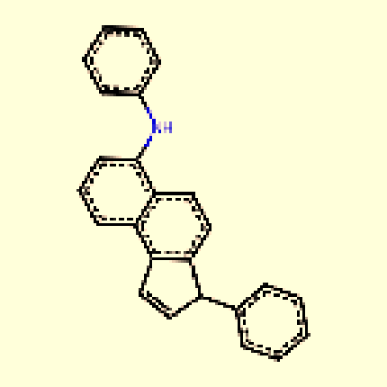 C1=CC(c2ccccc2)c2ccc3c(Nc4ccccc4)cccc3c21